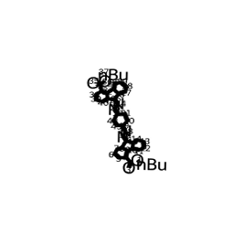 CCCCOC(=O)c1cccc2c1-c1ccccc1C2=NN=C1C=CC(=NN=C2c3ccccc3-c3c(C(=O)OCCCC)cccc32)C=C1